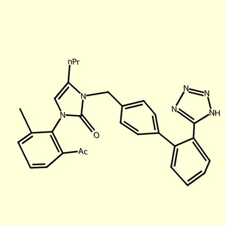 CCCc1cn(-c2c(C)cccc2C(C)=O)c(=O)n1Cc1ccc(-c2ccccc2-c2nnn[nH]2)cc1